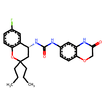 CCCC1(CCC)C[C@@H](NC(=O)Nc2ccc3c(c2)NC(=O)CO3)c2cc(F)ccc2O1